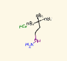 Br.CCCCC(CCCC)(CCCC)CCPN